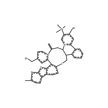 C=C1CC2C(CCc3ccc4c(oc5nc(C)ccc54)c3-c3cc(CC(C)C)cc[n+]31)c1ccccc1-c1cc(C(C)C)c([Si](C)(C)C)c[n+]12